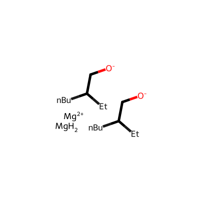 CCCCC(CC)C[O-].CCCCC(CC)C[O-].[Mg+2].[MgH2]